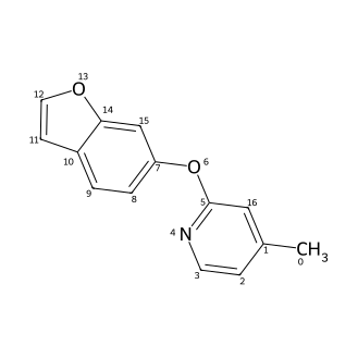 Cc1ccnc(Oc2ccc3ccoc3c2)c1